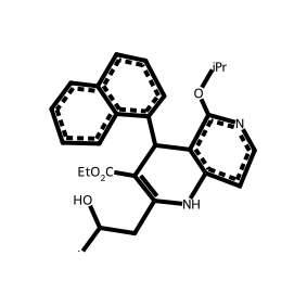 [CH2]C(O)CC1=C(C(=O)OCC)C(c2cccc3ccccc23)c2c(ccnc2OC(C)C)N1